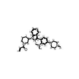 C=CC(=O)N1CCCC(n2nc(-c3ccc(N4CCN(C)CC4)cc3N(C)C)c3cnccc32)C1